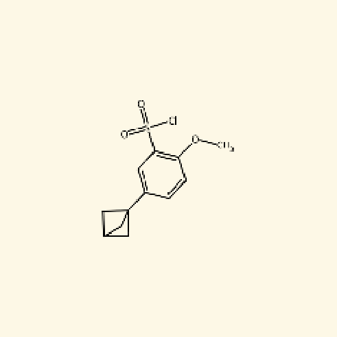 COc1ccc(C23CC(C2)C3)cc1S(=O)(=O)Cl